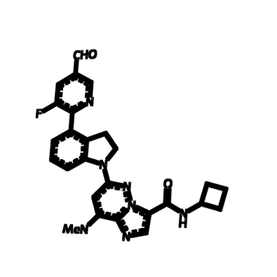 CNc1cc(N2CCc3c(-c4ncc(C=O)cc4F)cccc32)nn2c(C(=O)NC3CCC3)cnc12